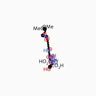 COc1ccc(CCO[C@@H]2CCCC[C@H]2N2CC[C@@H](OC(=O)CCCCCCCCC(=O)NCCCCC(NS(C)(=O)=O)C(=O)NC[C@@H](N[C@@H](C(=O)N[C@H](Cc3ccc(O)cc3)C(=O)O)C(C)C)C(=O)O)C2)cc1OC